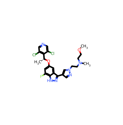 COCCN(C)CCn1cc(-c2n[nH]c3c(F)cc(O[C@H](C)c4c(Cl)cncc4Cl)cc23)cn1